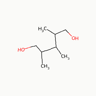 CC(CO)C(C)C(C)CO